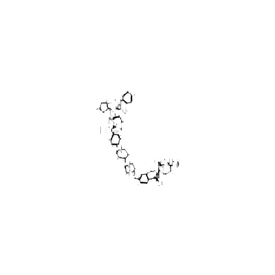 O=C1CCN(N2Cc3cc(CN4CCN(C5CCN(c6ccc(Nc7ncc8nc(Nc9ccccc9)n(C9CCCC9)c8n7)cc6)CC5)CC4)ccc3C2=O)C(=O)N1